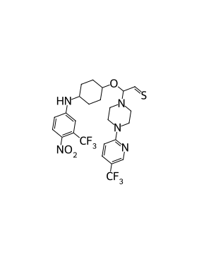 O=[N+]([O-])c1ccc(NC2CCC(OC(C=S)N3CCN(c4ccc(C(F)(F)F)cn4)CC3)CC2)cc1C(F)(F)F